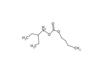 CCCCOC(=O)O[SiH2]C(CC)CC